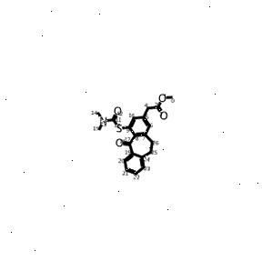 COC(=O)Cc1cc2c(c(SC(=O)N(C)C)c1)C(=O)c1ccccc1CC2